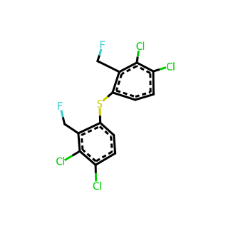 FCc1c(Sc2ccc(Cl)c(Cl)c2CF)ccc(Cl)c1Cl